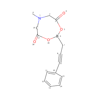 CN1CC(=O)OB(CC#Cc2ccccc2)OC(=O)C1